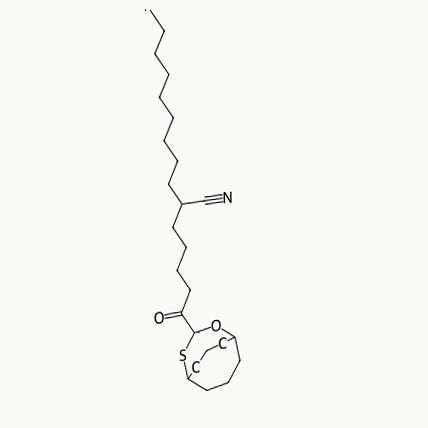 [CH2]CCCCCCCCC(C#N)CCCCC(=O)[C]1OC2CCCC(CCC2)S1